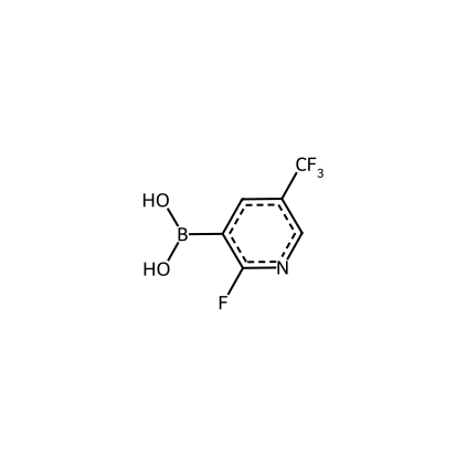 OB(O)c1cc(C(F)(F)F)cnc1F